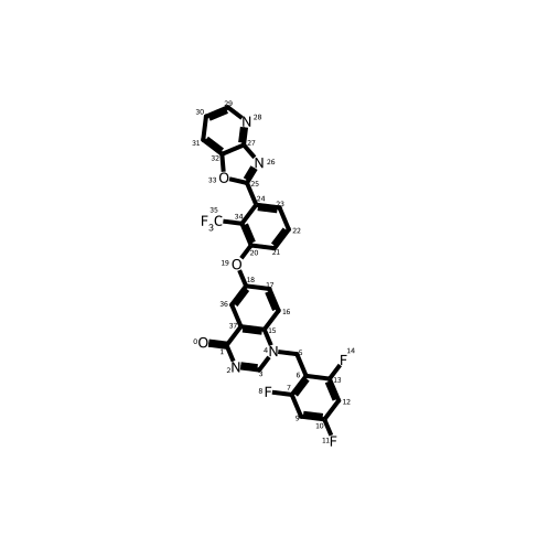 O=c1ncn(Cc2c(F)cc(F)cc2F)c2ccc(Oc3cccc(-c4nc5ncccc5o4)c3C(F)(F)F)cc12